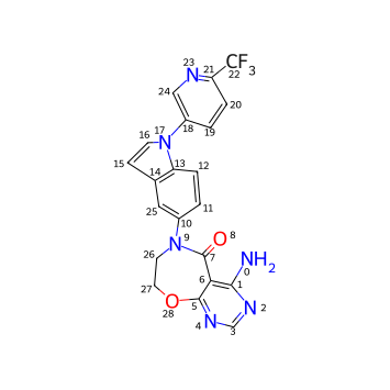 Nc1ncnc2c1C(=O)N(c1ccc3c(ccn3-c3ccc(C(F)(F)F)nc3)c1)CCO2